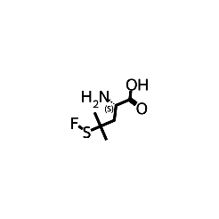 CC(C)(C[C@H](N)C(=O)O)SF